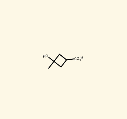 CC1(O)CC(C(=O)O)C1